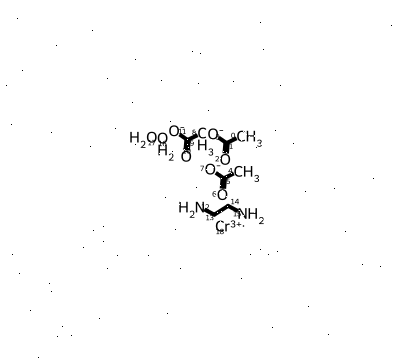 CC(=O)[O-].CC(=O)[O-].CC(=O)[O-].NCCN.O.O.[Cr+3]